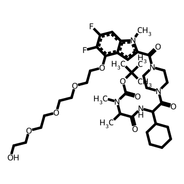 CC(C(=O)NC(C(=O)N1CCN(C(=O)c2cc3c(OCCOCCOCCOCCO)c(F)c(F)cc3n2C)CC1)C1CCCCC1)N(C)C(=O)OC(C)(C)C